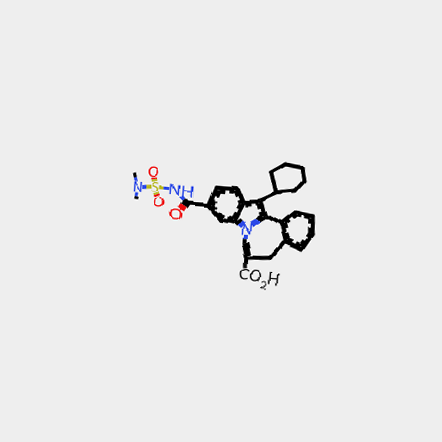 CN(C)S(=O)(=O)NC(=O)c1ccc2c(C3CCCCC3)c3n(c2c1)C=C(C(=O)O)Cc1ccccc1-3